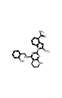 Cc1cc2c(C(N)=O)cccc2n1-c1nc2c(c(NCc3ccccc3O)n1)CCCN2